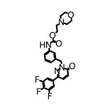 O=C(Nc1cccc(Cn2nc(-c3cc(F)c(F)c(F)c3)ccc2=O)c1)OCCN1CCOCC1